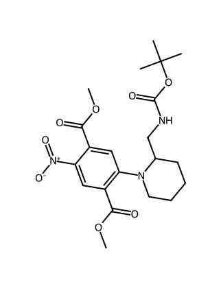 COC(=O)c1cc([N+](=O)[O-])c(C(=O)OC)cc1N1CCCCC1CNC(=O)OC(C)(C)C